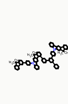 CC1(C)c2ccccc2-c2cc(-c3ccc(-n4c5ccccc5c5cc6c(cc54)C(C)(C)c4cccc(-c5cccc(-c7cc(-c8ccccc8)cc(-c8ccc(-n9c%10ccccc%10c%10cc%11c(cc%109)C(C)(C)c9ccccc9-%11)cc8)c7)c5)c4-6)cc3)ccc21